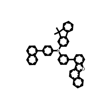 CC1(C)c2ccccc2-c2ccc(N(c3ccc(-c4cccc5ccccc45)cc3)c3cccc(-c4cccc5oc6c7ccccc7ccc6c45)c3)cc21